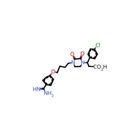 N=C(N)c1ccc(OCCCCN2CCN(C(CC(=O)O)c3ccc(Cl)cc3)C(=O)C2=O)cc1